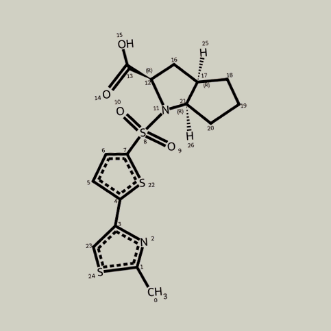 Cc1nc(-c2ccc(S(=O)(=O)N3[C@@H](C(=O)O)C[C@H]4CCC[C@H]43)s2)cs1